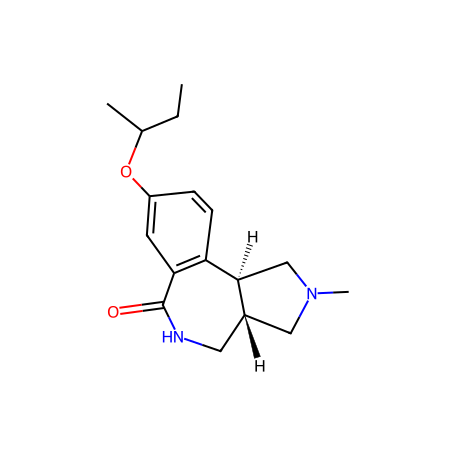 CCC(C)Oc1ccc2c(c1)C(=O)NC[C@H]1CN(C)C[C@H]21